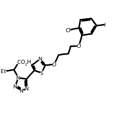 CCC(C(=O)O)n1nnnc1-c1cnc(OCCCOc2cc(I)ccc2Cl)s1